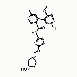 COc1cnc(Cl)cc1-c1cc(C)ncc1C(=O)Nc1nnc(OC[C@@H]2CC[C@H](O)C2)s1